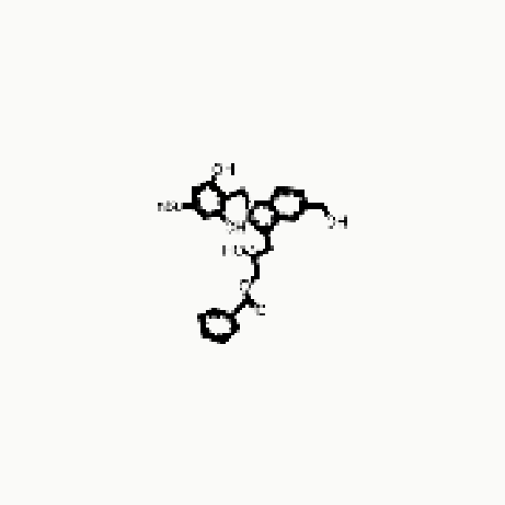 CCCCc1cc(O)c(Cn2cc(C[C@H](O)COC(=O)c3ccccc3)c3cc(CO)ccc32)c(O)c1